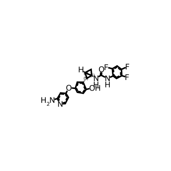 Nc1cc(Oc2ccc(O)c([C@@H]3[C@@H]4C[C@@]34NC(=O)Nc3cc(F)c(F)cc3F)c2)ccn1